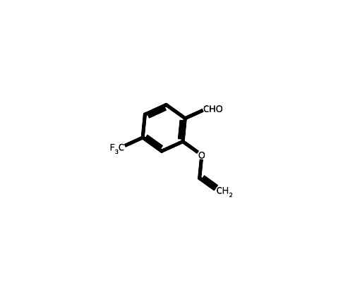 C=COc1cc(C(F)(F)F)ccc1C=O